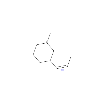 C/C=C\C1CCCN(C)C1